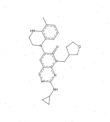 Cc1cccc2c1NCCN2c1cc2cnc(NC3CC3)nc2n(CC2CCOC2)c1=O